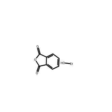 CCO.O=C1OC(=O)c2ccccc21